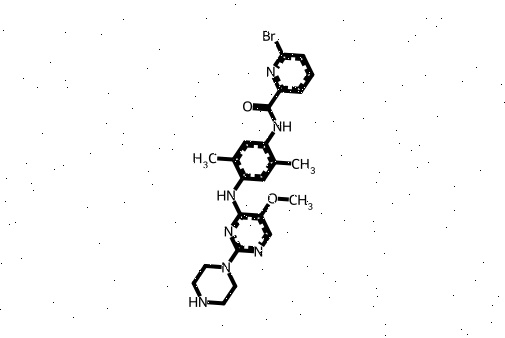 COc1cnc(N2CCNCC2)nc1Nc1cc(C)c(NC(=O)c2cccc(Br)n2)cc1C